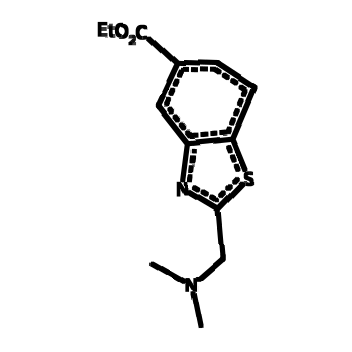 CCOC(=O)c1ccc2sc(CN(C)C)nc2c1